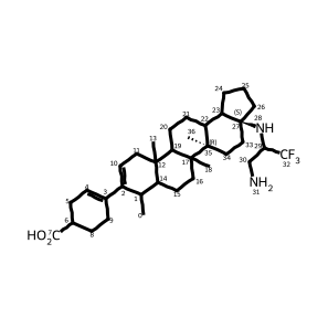 CC1C(C2=CCC(C(=O)O)CC2)=CCC2(C)C1CCC1(C)C2CCC2C3CCC[C@]3(NC(CN)C(F)(F)F)CC[C@]21C